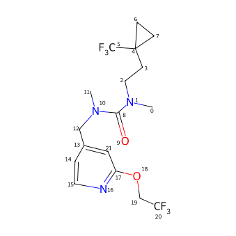 CN(CCC1(C(F)(F)F)CC1)C(=O)N(C)Cc1ccnc(OCC(F)(F)F)c1